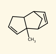 CC12C=CCC1C1C=CC2C1